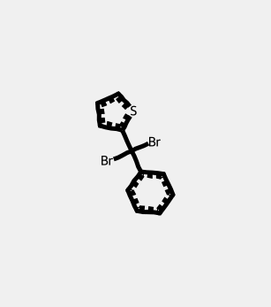 BrC(Br)(c1ccccc1)c1cccs1